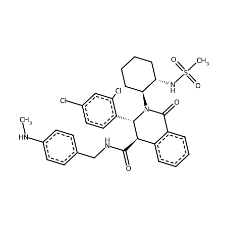 CNc1ccc(CNC(=O)[C@@H]2c3ccccc3C(=O)N([C@H]3CCCC[C@@H]3NS(C)(=O)=O)[C@H]2c2ccc(Cl)cc2Cl)cc1